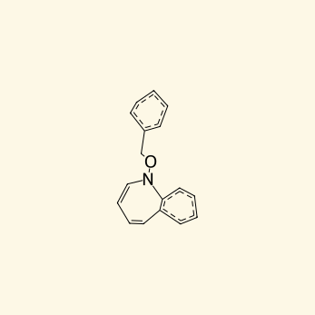 C1=Cc2ccccc2N(OCc2ccccc2)C=C1